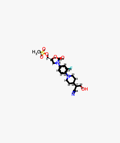 CS(=O)(=O)OC[C@H]1CN(c2ccc(N3CCC(C(C#N)CO)CC3)c(F)c2)C(=O)O1